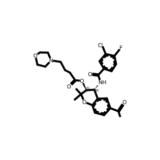 CC(=O)c1ccc2c(c1)[C@@H](NC(=O)c1ccc(F)c(Cl)c1)[C@H](OC(=O)CCCN1CCOCC1)C(C)(C)O2